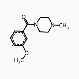 COc1[c]ccc(C(=O)N2CCN(C)CC2)c1